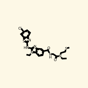 CCN(CCSC)C(=O)CNC(=O)c1ccc2c(c1)nc(Nc1nc3ccc(Cl)cc3s1)n2CC